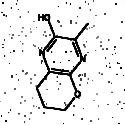 Cc1nc2c(nc1O)CCCO2